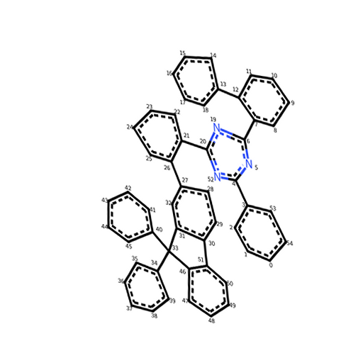 c1ccc(-c2nc(-c3ccccc3-c3ccccc3)nc(-c3ccccc3-c3ccc4c(c3)C(c3ccccc3)(c3ccccc3)c3ccccc3-4)n2)cc1